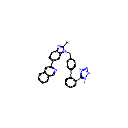 CCc1nc2ccc(-c3cc4ccccc4cn3)cc2n1Cc1ccc(-c2ccccc2-c2nnn[nH]2)cc1